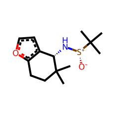 CC1(C)CCc2occc2[C@@H]1N[S@@+]([O-])C(C)(C)C